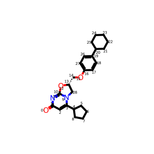 O=c1cc(C2CCCC2)n2c(n1)O[C@H](COc1ccc(C3CCCCC3)cc1)C2